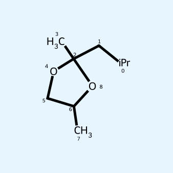 CC(C)CC1(C)OCC(C)O1